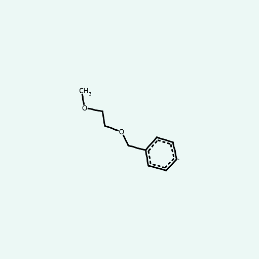 COCCOCc1cc[c]cc1